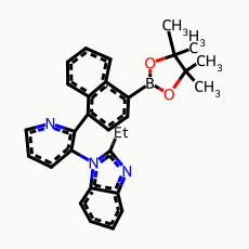 CCc1nc2ccccc2n1-c1cccnc1-c1ccc(B2OC(C)(C)C(C)(C)O2)c2ccccc12